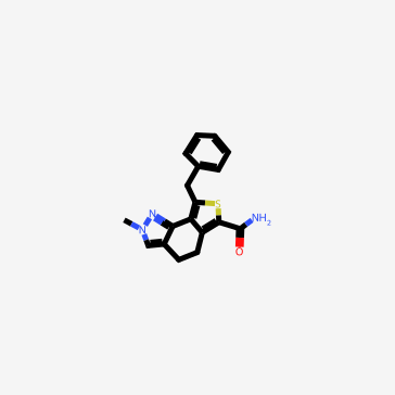 Cn1cc2c(n1)-c1c(Cc3ccccc3)sc(C(N)=O)c1CC2